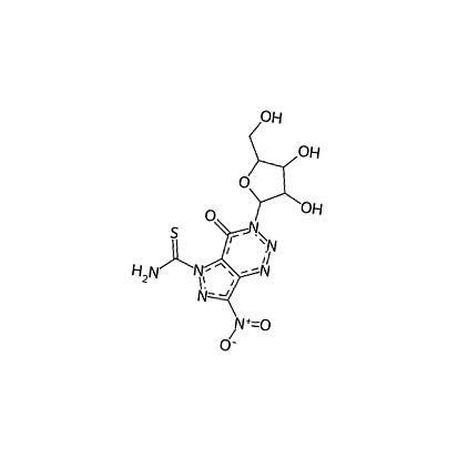 NC(=S)n1nc([N+](=O)[O-])c2nnn(C3OC(CO)C(O)C3O)c(=O)c21